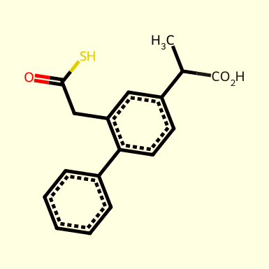 CC(C(=O)O)c1ccc(-c2ccccc2)c(CC(=O)S)c1